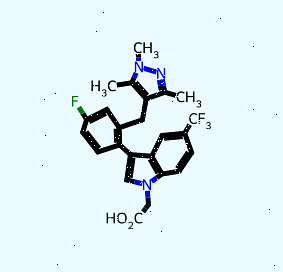 Cc1nn(C)c(C)c1Cc1cc(F)ccc1-c1cn(CC(=O)O)c2ccc(C(F)(F)F)cc12